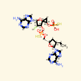 C=C[C@@H]1C[C@@H](COP(=O)(S)O[C@H]2[C@@H](F)[C@H](n3cnc4c(N)ncnc43)OC23C[C@H]3O[P@](=O)(O)S)O[C@H]1n1cnc2c(N)ncnc21